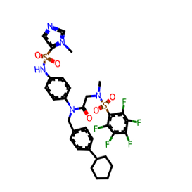 CN(CC(=O)N(Cc1ccc(C2CCCCC2)cc1)c1ccc(NS(=O)(=O)c2cncn2C)cc1)S(=O)(=O)c1c(F)c(F)c(F)c(F)c1F